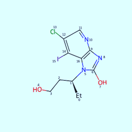 CC[C@@H](CCO)n1c(O)nc2ncc(Cl)c(I)c21